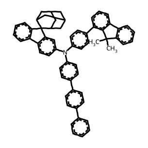 CC1(C)c2ccccc2-c2cccc(-c3ccc(N(c4ccc(-c5ccc(-c6ccccc6)cc5)cc4)c4ccc5c(c4)C4(c6ccccc6-5)C5CC6CC(C5)CC4C6)cc3)c21